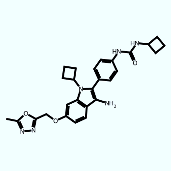 Cc1nnc(COc2ccc3c(N)c(-c4ccc(NC(=O)NC5CCC5)cc4)n(C4CCC4)c3c2)o1